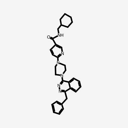 O=C(NCC1CCCCC1)c1ccc(N2CCN(c3nnc(Cc4ccccc4)c4ccccc34)CC2)nc1